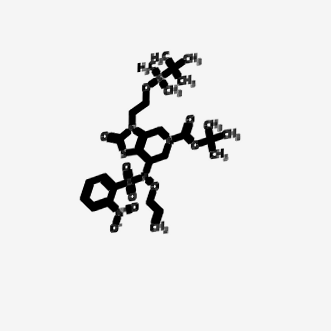 C=CCON(C1CN(C(=O)OC(C)(C)C)Cc2c1sc(=O)n2CCO[Si](C)(C)C(C)(C)C)S(=O)(=O)c1ccccc1[N+](=O)[O-]